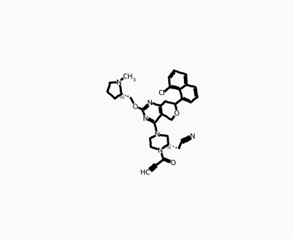 C#CC(=O)N1CCN(c2nc(OC[C@@H]3CCCN3C)nc3c2COC(c2cccc4cccc(Cl)c24)C3)C[C@@H]1CC#N